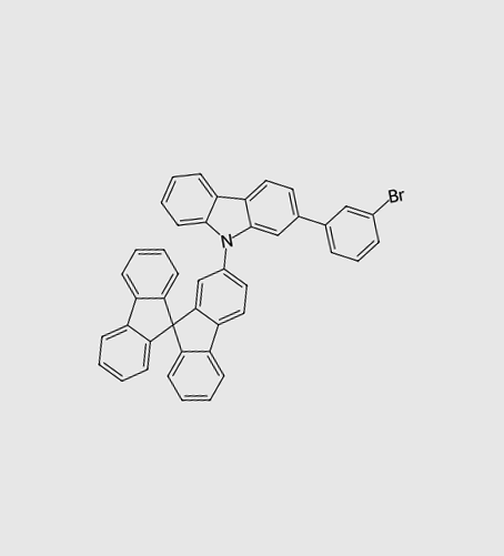 Brc1cccc(-c2ccc3c4ccccc4n(-c4ccc5c(c4)C4(c6ccccc6-c6ccccc64)c4ccccc4-5)c3c2)c1